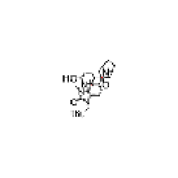 Cn1c(=O)n(CC(C)(C)C)c2ccc(N3CC4CCC(C3)N4C(=O)c3ccc(O)nc3)nc21